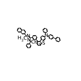 C=C(/N=C(\N=C(/C)c1ccccc1)c1cccc(-c2cccc3sc4cc(N(c5ccccc5)c5ccc(-c6ccccc6)cc5)ccc4c23)c1)c1ccc2ccccc2c1